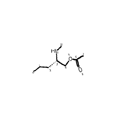 CCC[C@@H](COC(C)=O)NC